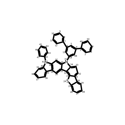 c1ccc(-c2cc(-c3ccccc3)cc(-n3c4cc5c(cc4c4c6sc7ccccc7c6ccc43)c3ccccc3n5-c3ccccc3)c2)cc1